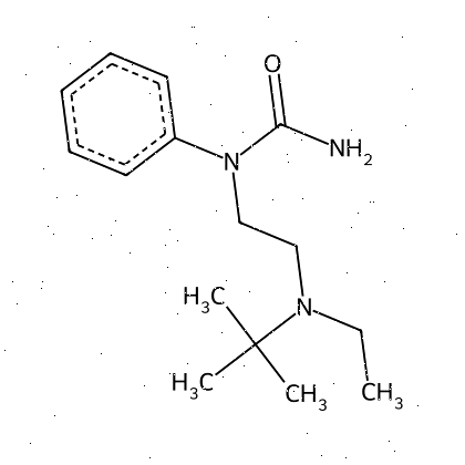 CCN(CCN(C(N)=O)c1ccccc1)C(C)(C)C